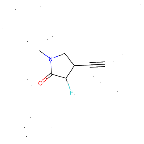 C#CC1CN(C)C(=O)C1F